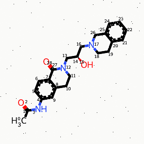 CC(=O)Nc1ccc2c(c1)CCN(C[C@H](O)CN1CCc3ccccc3C1)C2=O